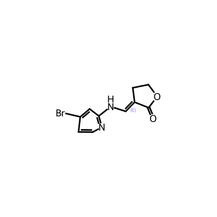 O=C1OCC/C1=C\Nc1cc(Br)ccn1